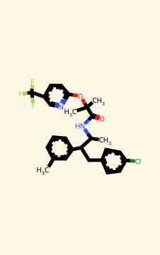 Cc1cccc(C(Cc2ccc(Cl)cc2)C(C)NC(=O)C(C)(C)Oc2ccc(C(F)(F)F)cn2)c1